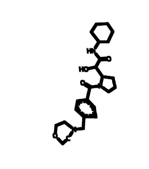 O=C(NC1CCCCC1)C(O)C1CCCN1C(=O)c1ccc(CN2CCOCC2)cc1